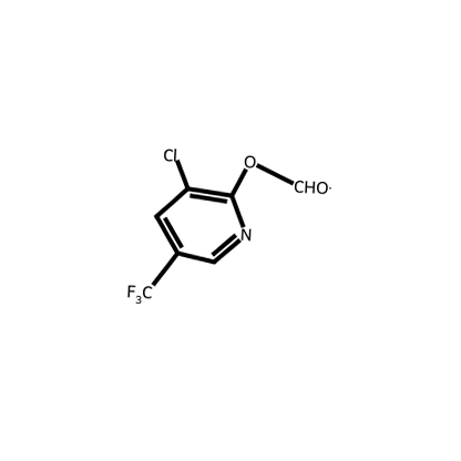 O=[C]Oc1ncc(C(F)(F)F)cc1Cl